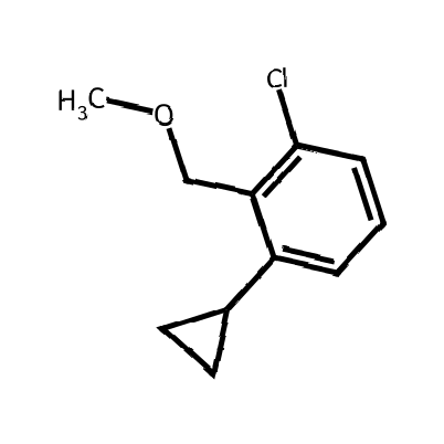 COCc1c(Cl)cccc1C1CC1